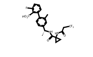 Cc1cc([C@@H](C)NC(=O)C2(NC(=O)CC(F)(F)F)CC2)ccc1-c1cccc(F)c1C(=O)O